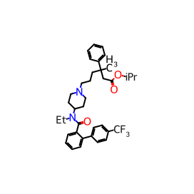 CCN(C(=O)c1ccccc1-c1ccc(C(F)(F)F)cc1)C1CCN(CCCC(C)(CC(=O)OC(C)C)c2ccccc2)CC1